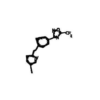 Cc1ccc(Cc2ccc(-c3noc(C(F)(F)F)n3)cc2)nc1